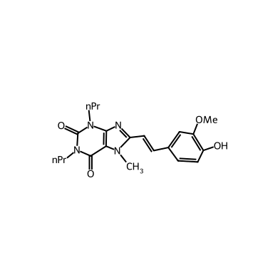 CCCn1c(=O)c2c(nc(C=Cc3ccc(O)c(OC)c3)n2C)n(CCC)c1=O